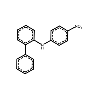 O=[N+]([O-])c1ccc(Nc2ccccc2-c2ccccc2)cc1